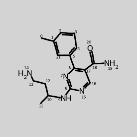 Cc1cccc(-c2nc(NC(C)CCN)ncc2C(N)=O)c1